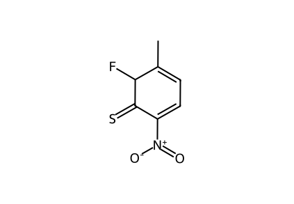 CC1=CC=C([N+](=O)[O-])C(=S)C1F